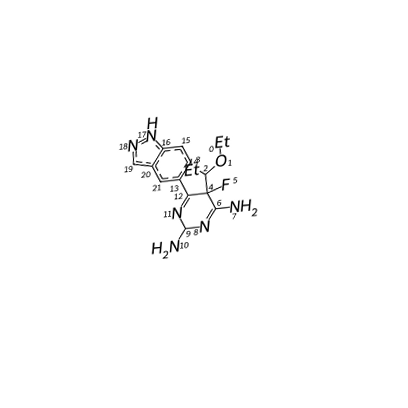 CCOC(CC)C1(F)C(N)=NC(N)N=C1c1ccc2[nH]ncc2c1